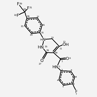 O=C(Nc1ccc(F)cc1)C1=C(O)CN(c2ccc(C(F)(F)F)cc2)NC1=O